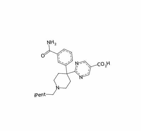 CCCC(C)CN1CCC(c2cccc(C(N)=O)c2)(c2ncc(C(=O)O)cn2)CC1